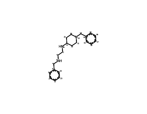 c1ccc(CNCCNC2CCN(Cc3ccccc3)CC2)cc1